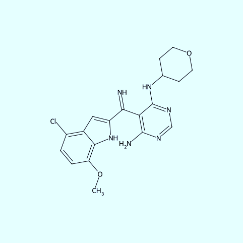 COc1ccc(Cl)c2cc(C(=N)c3c(N)ncnc3NC3CCOCC3)[nH]c12